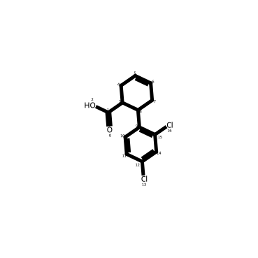 O=C(O)C1CC=CCC1c1ccc(Cl)cc1Cl